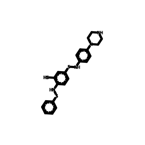 Sc1cc(SNc2ccc(N3CCNCC3)cc2)ccc1NSc1ccccc1